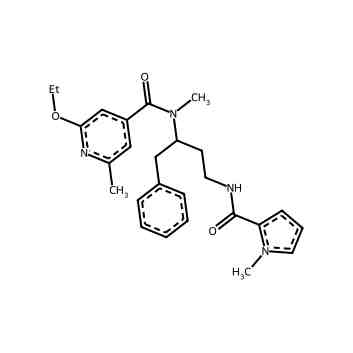 CCOc1cc(C(=O)N(C)C(CCNC(=O)c2cccn2C)Cc2ccccc2)cc(C)n1